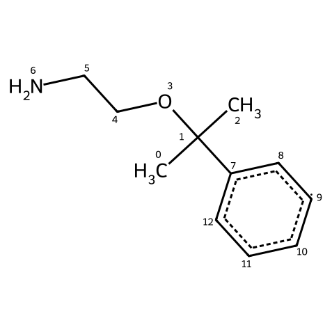 CC(C)(OCCN)c1c[c]ccc1